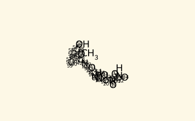 COc1cc(N2CCC3(CC2)CC(CN2CCN4c5ccc6c(c5OC[C@H]4C2)CN([C@H]2CCC(=O)NC2=O)C6=O)CO3)ccc1[C@H]1c2ccc(O)cc2CC[C@H]1c1ccccc1